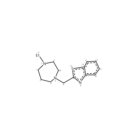 CCN1CCCN(Cc2nc3ccccc3s2)CC1